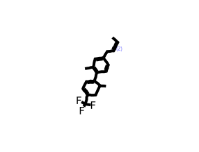 C/C=C\Cc1ccc(C2=CC=C(C(F)(F)F)CC2C)c(C)c1